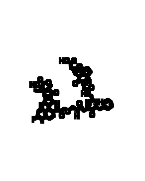 CC[C@@]1(O)C(=O)OCc2c1cc1n(c2=O)Cc2c-1nc1cc(F)c(C)c3c1c2[C@@H](NC(=O)COCNC(=O)CNC(=O)[C@H](Cc1ccccc1)NC(=O)CNC(=O)CNC(=O)[C@@H](CNCC(=O)O)N1C(=O)C=CC1=O)CC3